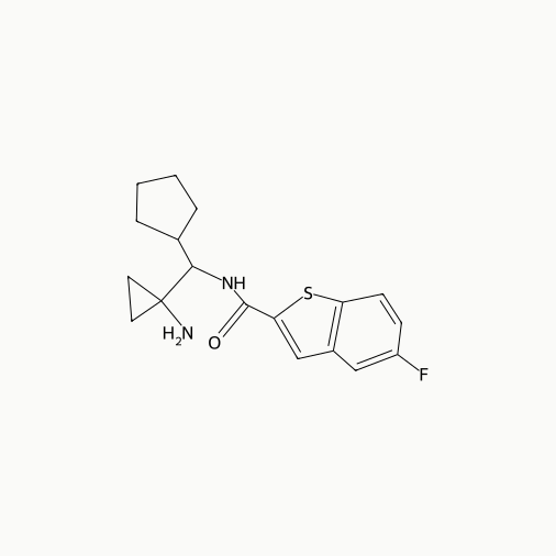 NC1(C(NC(=O)c2cc3cc(F)ccc3s2)C2CCCC2)CC1